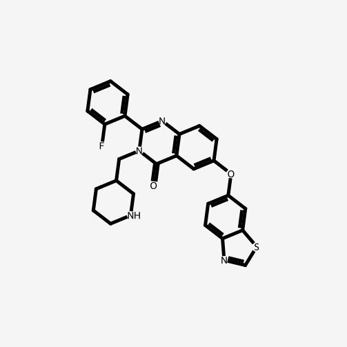 O=c1c2cc(Oc3ccc4ncsc4c3)ccc2nc(-c2ccccc2F)n1CC1CCCNC1